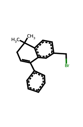 CC1(C)CC=C(c2ccccc2)c2cc(CBr)ccc21